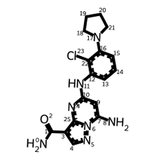 NC(=O)c1cnn2c(N)cc(Nc3cccc(N4CCCC4)c3Cl)nc12